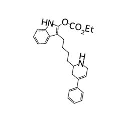 CCOC(=O)Oc1[nH]c2ccccc2c1CCCCC1CC(c2ccccc2)=CCN1